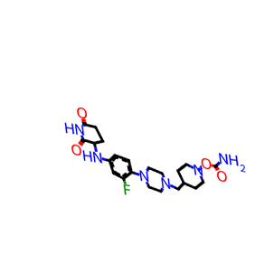 NC(=O)ON1CCC(CN2CCN(c3ccc(NC4CCC(=O)NC4=O)cc3F)CC2)CC1